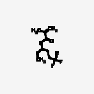 C=C(C)C(=O)OC(CC)CCC(F)(F)F